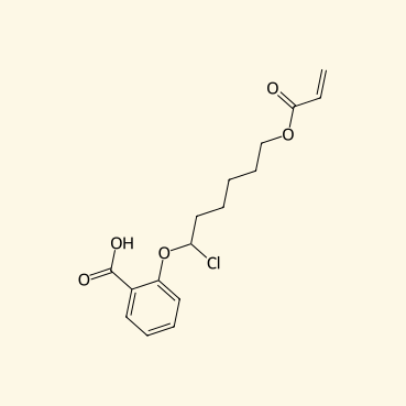 C=CC(=O)OCCCCCC(Cl)Oc1ccccc1C(=O)O